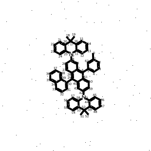 Cc1cccc(-c2c3cc(N4c5ccccc5C(C)(C)c5ccccc54)ccc3c(-c3cccc4ccccc34)c3cc(N4c5ccccc5C(C)(C)c5ccccc54)ccc23)c1